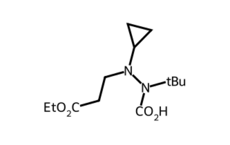 CCOC(=O)CCN(C1CC1)N(C(=O)O)C(C)(C)C